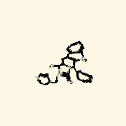 O=C1C2Cc3c([nH]c4ccccc34)C(c3ccccc3)N2C(=O)N1Cc1ccncc1